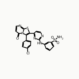 NS(=O)(=O)c1cccc(Nc2nccc(-c3sc4nccc(=O)n4c3-c3ccc(Cl)cc3)n2)c1